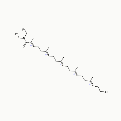 CC(=O)CC/C=C(\C)CC/C=C(\C)CC/C=C(\C)CC/C=C(\C)CC/C=C(\C)C(=O)N(CC(C)C)CC(C)C